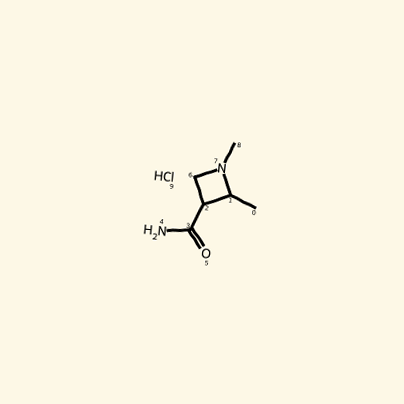 CC1C(C(N)=O)CN1C.Cl